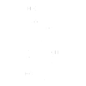 CCOC(=O)CCc1coc2c(O)c3ccccc3c(C)c12